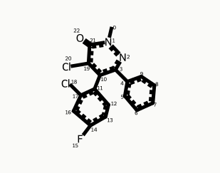 Cn1nc(-c2ccccc2)c(-c2ccc(F)cc2Cl)c(Cl)c1=O